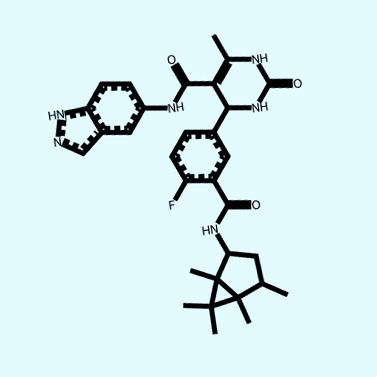 CC1=C(C(=O)Nc2ccc3[nH]ncc3c2)C(c2ccc(F)c(C(=O)NC3CC(C)C4(C)C(C)(C)C34C)c2)NC(=O)N1